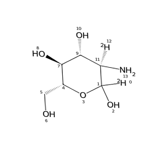 [2H]C1(O)O[C@H](CO)[C@@H](O)[C@H](O)[C@@]1([2H])N